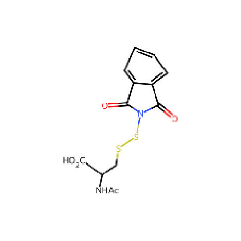 CC(=O)NC(CSSN1C(=O)c2ccccc2C1=O)C(=O)O